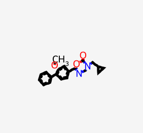 COc1cc(C2=NCN(CC3CC3)C(=O)O2)ccc1-c1ccccc1